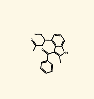 CCC(CC(C)=O)c1cccc2[nH]c(C)c(C(=O)c3ccccc3)c12